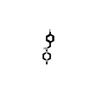 CN1CCN(NCc2ccc(F)cc2)CC1